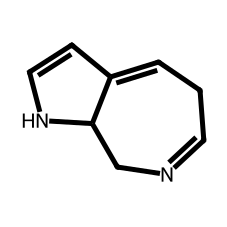 C1=CC2=CCC=NCC2N1